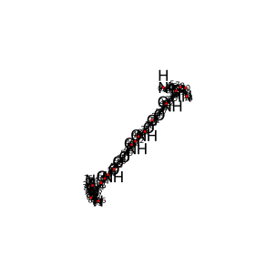 CNCc1ccc2cc3ccc(CNC)cc3[n+](CCCCCC(=O)NCCCOCCOCCOCCCNC(=O)CCCC(=O)NCCCOCCOCCOCCCNC(=O)CCCCC[n+]3c4cc(N(C)C)ccc4cc4ccc(N(C)C)cc43)c2c1